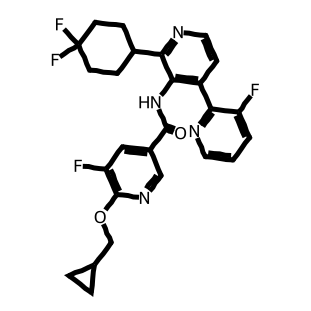 O=C(Nc1c(-c2ncccc2F)ccnc1C1CCC(F)(F)CC1)c1cnc(OCC2CC2)c(F)c1